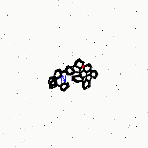 c1ccc(-c2ccccc2-n2c3cc4c(cc3c3ccc5ccccc5c32)-c2ccccc2C42c3ccccc3C3(c4ccccc4-c4ccccc43)c3ccccc32)cc1